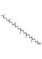 CC(C)=CCC/C(C)=C/CC/C(C)=C/CC/C=C(\C)CC/C=C(\C)CC/C=C(\C)CCCO